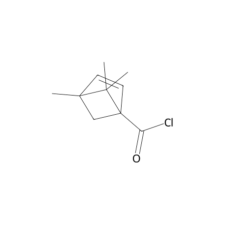 CC12C=CC(C(=O)Cl)(C1)C2(C)C